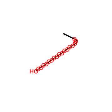 CCCCCCCCCCCCOCC(C)OCC(C)OCCOCCOCCOCCOCCOCCOCCOCCOCCOCCOCCOCCOCCOCCOCCO